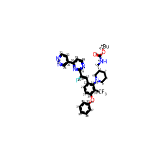 CC(C)(C)OC(=O)NC[C@@H]1CCCN(c2c(/C=C(\F)c3nccc(-c4ccnnc4)n3)ccc(Oc3ccccc3)c2C(F)(F)F)C1